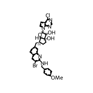 COc1ccc(CNc2nc3cc(C[C@@H]4CC[C@@]5(O)[C@@H]4O[C@@H](n4ccc6c(Cl)ncnc64)[C@@H]5O)ccc3cc2Br)cc1